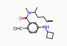 C=CCCC(C)N(C)C(=O)c1cc(NC2CCC2)ccc1C=O